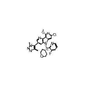 COc1nc(Cl)cc2c1c1ncc(-c3c(C)nnn3C)cc1n2[C@H](c1ncccc1F)C1CCOCC1